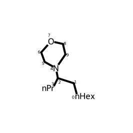 CCCCCCCC(CCC)N1CCOCC1